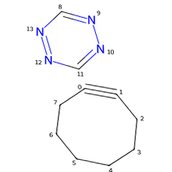 C1#CCCCCCC1.c1nncnn1